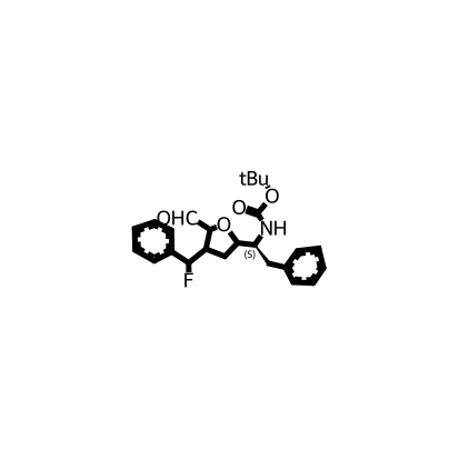 CC(C)(C)OC(=O)N[C@@H](Cc1ccccc1)C1CC(C(F)c2ccccc2)C(C=O)O1